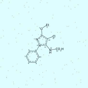 CCOc1nn(-c2ccccc2)c(NC(=O)O)c1Cl